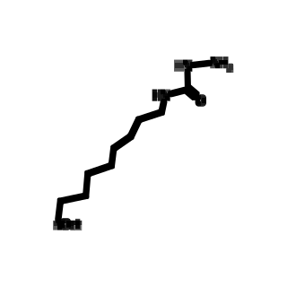 CCCCCCCCCCCCCCCCNC(=O)NN